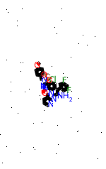 COc1ccc(CN(c2nn(C)c3c(-n4c([C@@H](N)Cc5cc(F)cc(F)c5)nc5ncccc5c4=O)ccc(Cl)c23)S(C)(=O)=O)cc1